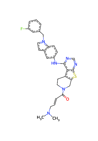 CN(C)CC=CC(=O)N1CCc2c(sc3ncnc(Nc4ccc5c(ccn5Cc5cccc(F)c5)c4)c23)C1